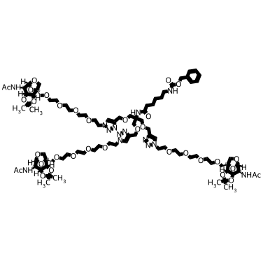 CC(=O)N[C@H]1[C@@H]2OC[C@](COCCOCCOCCOCCn3cc(COCC(COCc4cn(CCOCCOCCOCCOC[C@@]56CO[C@@H](O5)[C@H](NC(C)=O)C5OC(C)(C)O[C@H]56)nn4)(COCc4cn(CCOCCOCCOCCOC[C@@]56CO[C@@H](O5)[C@H](NC(C)=O)[C@H]5OC(C)(C)O[C@H]56)nn4)NC(=O)CCCCCNC(=O)OCc4ccccc4)nn3)(O2)[C@@H]2OC(C)(C)O[C@H]12